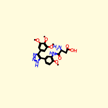 COc1ccc(-c2[nH]nnc2-c2cc(OC)c(OC)c(OC)c2)cc1NC(=O)C(N)CC(=O)O